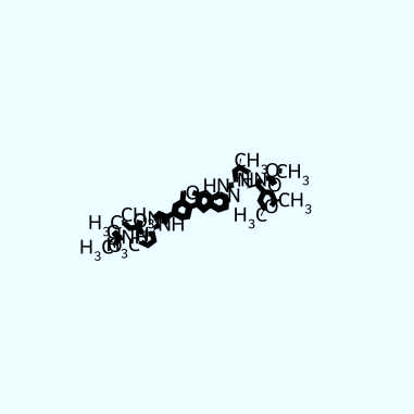 COC(=O)N[C@H](C(=O)N1[C@@H](C)CC[C@H]1c1ncc(-c2ccc3c(c2)COc2cc4c(ccc5nc([C@@H]6C[C@H](C)CN6C[C@@H](NC(=O)OC)C6C[C@@H](C)O[C@H](C)C6)[nH]c54)cc2-3)[nH]1)C(C)C